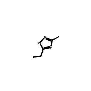 CCc1nc(C)n[nH]1